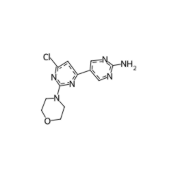 Nc1ncc(-c2cc(Cl)nc(N3CCOCC3)n2)cn1